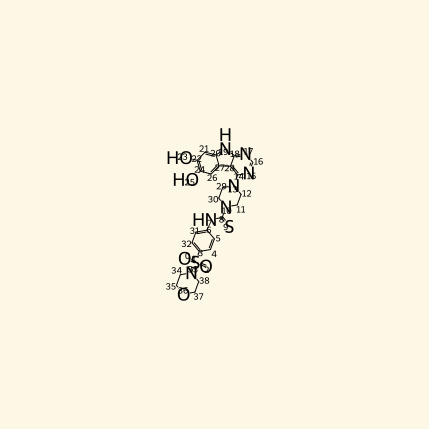 O=S(=O)(c1ccc(NC(=S)N2CCN(c3ncnc4[nH]c5cc(O)c(O)cc5c34)CC2)cc1)N1CCOCC1